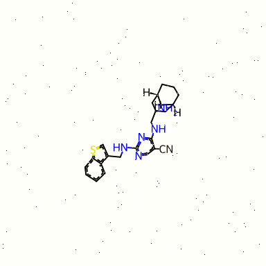 N#Cc1cnc(NCc2csc3ccccc23)nc1NCC1C[C@H]2CCC[C@@H](C1)[C@@H]2N